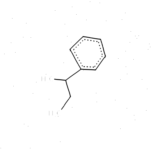 CCC(C)c1[c]cc[c]c1